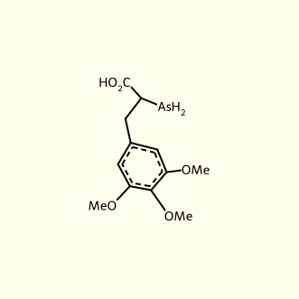 COc1cc(CC([AsH2])C(=O)O)cc(OC)c1OC